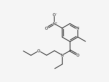 CCOCCN(CC)C(=O)c1cc([N+](=O)[O-])cnc1C